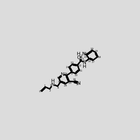 C=CCNCc1cnc(-c2ccc(C(=O)Nc3ccccc3N)cc2)c(C#N)c1